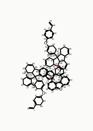 C=CC1=CC=C(OC2=CC=C(C3(C4=C(F)CCC=C4F)c4cc(N(c5cccc6oc7cccc(N(C8=CC9C(C=C8)C8C=CCCC8C9(C8=CC=C(Oc9ccc(C=C)cc9)CC8)C8C(F)C=CCC8F)c8ccccc8)c7c56)C5C=CC=CC5)ccc4C4C=CCCC43)CC2)CC1